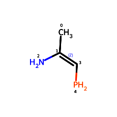 C/C(N)=C/P